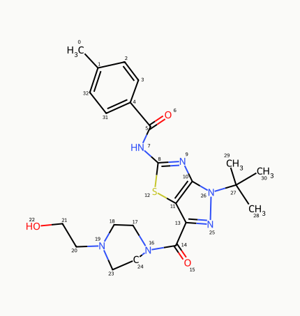 Cc1ccc(C(=O)Nc2nc3c(s2)c(C(=O)N2CCN(CCO)CC2)nn3C(C)(C)C)cc1